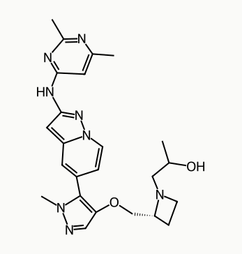 Cc1cc(Nc2cc3cc(-c4c(OC[C@H]5CCN5CC(C)O)cnn4C)ccn3n2)nc(C)n1